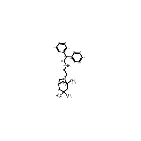 CC1(C)CC2CN(CCNCC(c3ccccc3)c3ccccc3)C(C)(C2)C1